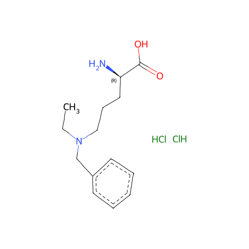 CCN(CCC[C@@H](N)C(=O)O)Cc1ccccc1.Cl.Cl